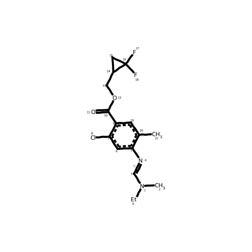 CCN(C)/C=N/c1cc(Cl)c(C(=O)OCC2CC2(F)F)cc1C